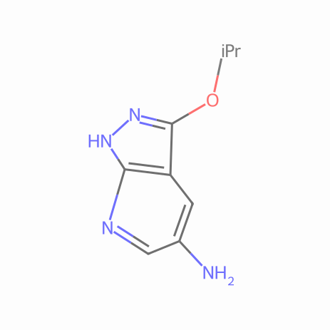 CC(C)Oc1n[nH]c2ncc(N)cc12